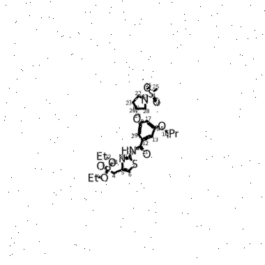 CCOP(=O)(Cc1csc(NC(=O)c2cc(OC(C)C)cc(O[C@@H]3CCN(S(C)(=O)=O)C3)c2)n1)OCC